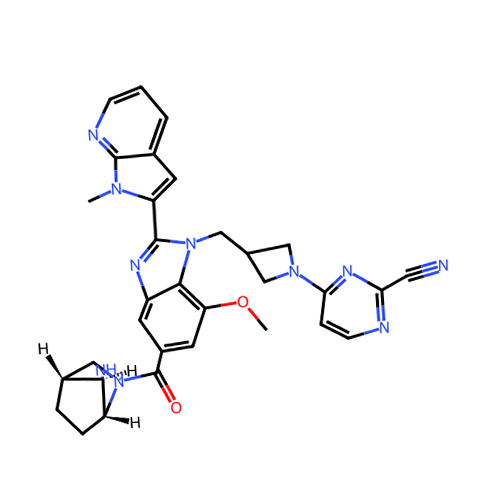 COc1cc(C(=O)N2C[C@H]3CC[C@@H]2[C@@H]3N)cc2nc(-c3cc4cccnc4n3C)n(CC3CN(c4ccnc(C#N)n4)C3)c12